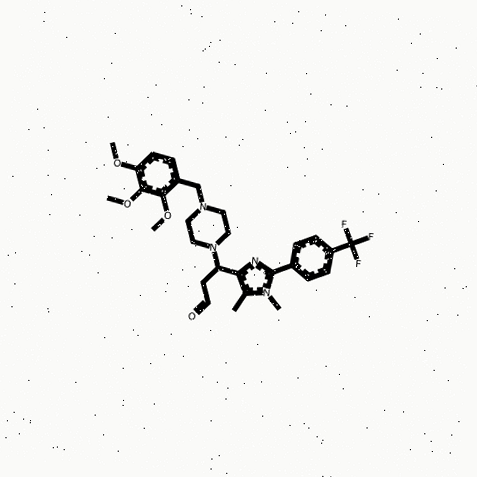 COc1ccc(CN2CCN(C(CC=O)c3nc(-c4ccc(C(F)(F)F)cc4)n(C)c3C)CC2)c(OC)c1OC